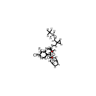 CC(C)(C)OC(=O)N1C2CCC1CN(c1nc(SCC3(CO[Si](C)(C)C(C)(C)C)CC3)nc3c(F)c(Cl)ncc13)C2